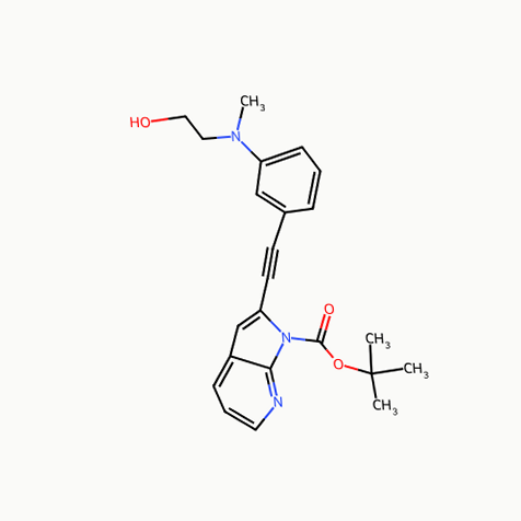 CN(CCO)c1cccc(C#Cc2cc3cccnc3n2C(=O)OC(C)(C)C)c1